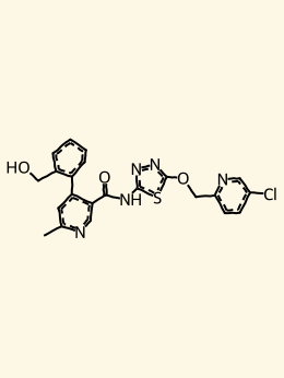 Cc1cc(-c2ccccc2CO)c(C(=O)Nc2nnc(OCc3ccc(Cl)cn3)s2)cn1